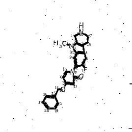 Cn1c2c(c3cc(F)c(-n4ccc(OCc5ccccc5)cc4=O)cc31)CCNC2